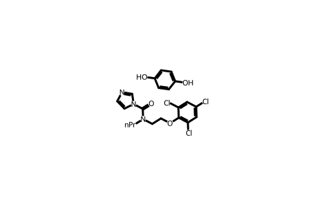 CCCN(CCOc1c(Cl)cc(Cl)cc1Cl)C(=O)n1ccnc1.Oc1ccc(O)cc1